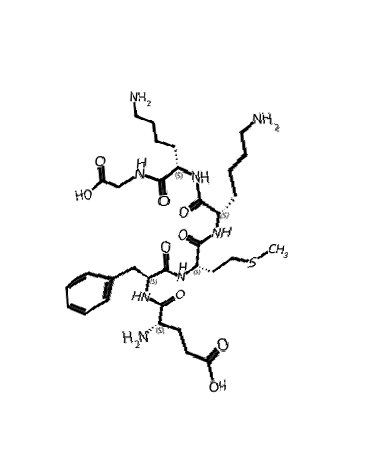 CSCC[C@H](NC(=O)[C@H](Cc1ccccc1)NC(=O)[C@@H](N)CCC(=O)O)C(=O)N[C@@H](CCCCN)C(=O)N[C@@H](CCCCN)C(=O)NCC(=O)O